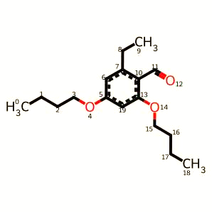 CCCCOc1cc(CC)c(C=O)c(OCCCC)c1